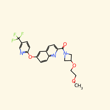 COCCOC1CN(C(=O)c2ccc3cc(Oc4ccc(C(F)(F)F)cn4)ccc3n2)C1